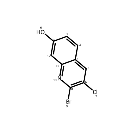 Oc1ccc2cc(Cl)c(Br)nc2c1